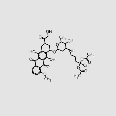 COc1cccc2c1C(=O)c1c(O)c3c(c(O)c1C2=O)CC(C(=O)CO)CC3OC1CC(NCCCC(C)(OC(C)=O)OC(C)=O)C(O)C(C)O1